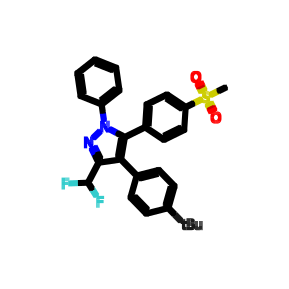 CC(C)(C)c1ccc(-c2c(C(F)F)nn(-c3ccccc3)c2-c2ccc(S(C)(=O)=O)cc2)cc1